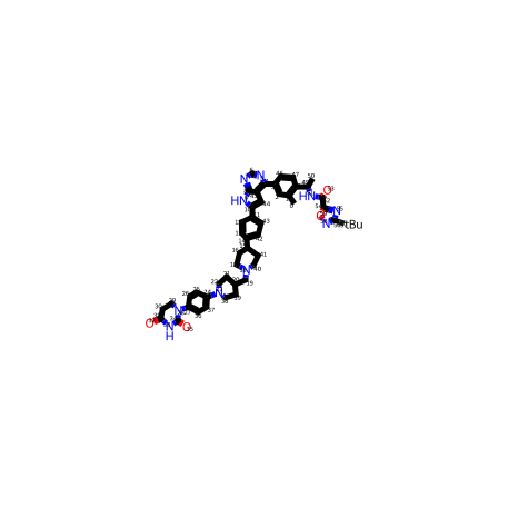 Cc1cc(-c2ncnc3[nH]c(-c4ccc(C5CCN(CC6CCN(c7ccc(N8CCC(=O)NC8=O)cc7)CC6)CC5)cc4)cc23)ccc1C(C)NC(=O)c1nc(C(C)(C)C)no1